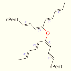 C/C=C/C=C/C(=C\C=C\CCCCC)OC(/C=C/C=C/C)=C/C=C/CCCCC